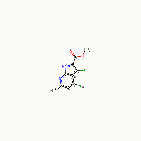 COC(=O)c1[nH]c2nc(C)cc(F)c2c1Br